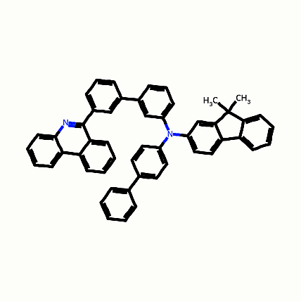 CC1(C)c2ccccc2-c2ccc(N(c3ccc(-c4ccccc4)cc3)c3cccc(-c4cccc(-c5nc6ccccc6c6ccccc56)c4)c3)cc21